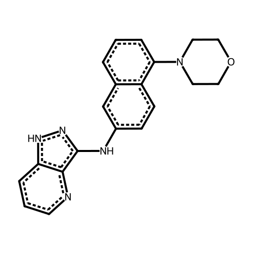 c1cc(N2CCOCC2)c2ccc(Nc3n[nH]c4cccnc34)cc2c1